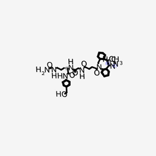 C/N=N\C1=C(/C)c2ccccc2CN(C(=O)CCC(=O)NCC(=O)N[C@@H](CCCNC(N)=O)C(=O)Nc2ccc(CO)cc2)c2ccccc21